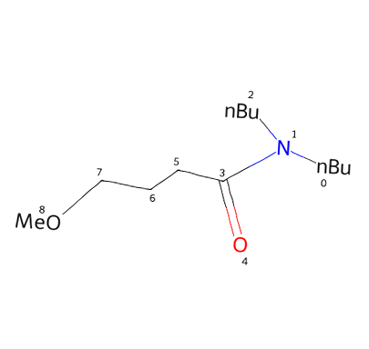 CCCCN(CCCC)C(=O)CCCOC